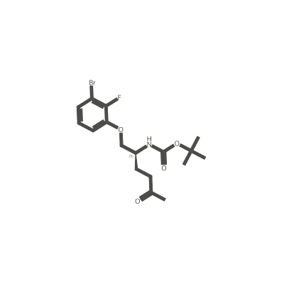 CC(=O)CC[C@@H](COc1cccc(Br)c1F)NC(=O)OC(C)(C)C